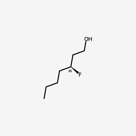 CCCC[C@H](F)CCO